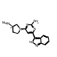 CN[C@@H]1CCN(c2cc(-c3[nH]nc4ccccc34)nc(N)n2)C1